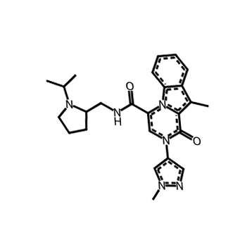 Cc1c2ccccc2n2c(C(=O)NCC3CCCN3C(C)C)cn(-c3cnn(C)c3)c(=O)c12